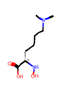 CN(C)CCCC[C@H](NO)C(=O)O